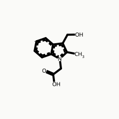 Cc1c(CO)c2c[c]ccc2n1CC(=O)O